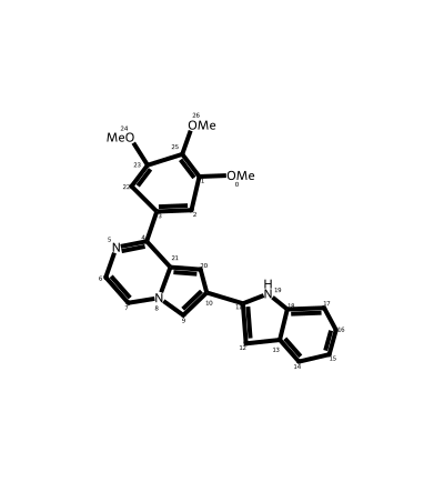 COc1cc(-c2nccn3cc(-c4cc5ccccc5[nH]4)cc23)cc(OC)c1OC